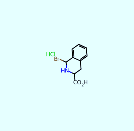 Cl.O=C(O)C1Cc2ccccc2C(Br)N1